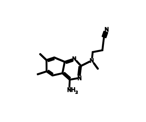 Cc1cc2nc(N(C)CCC#N)nc(N)c2cc1C